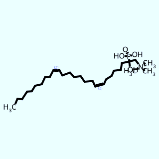 CCCCCCCCC/C=C\CCCCCC/C=C\CCCCCC(O)(C[N+](C)(C)C)P(=O)(O)O